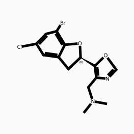 CN(C)Cc1ncoc1[C@H]1Cc2cc(Cl)cc(Br)c2O1